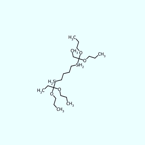 CCCOC(CC)(OCCC)[SiH2]CCCC[SiH2]C(CC)(OCCC)OCCC